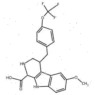 COc1ccc2[nH]c3c(c2c1)C(Cc1ccc(OC(F)(F)F)cc1)CNC3C(=O)O